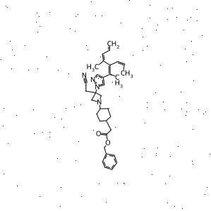 C=C/C=C(/C)C(/C=C\C)=C(C)c1cnn(C2(CC#N)CN(C3CCC(CC(=O)OCc4ccccc4)CC3)C2)c1